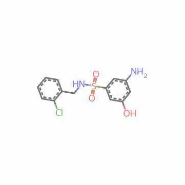 Nc1cc(O)cc(S(=O)(=O)NCc2ccccc2Cl)c1